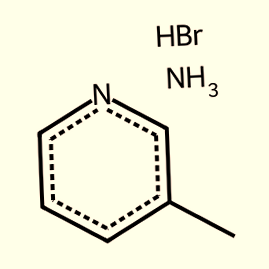 Br.Cc1cccnc1.N